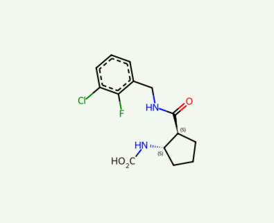 O=C(O)N[C@H]1CCC[C@@H]1C(=O)NCc1cccc(Cl)c1F